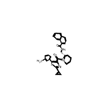 Cc1cccc(-c2sc(C3CC3)nc2C(=O)N2CCCC[C@H]2CNC(=O)c2cccc3ccccc23)c1